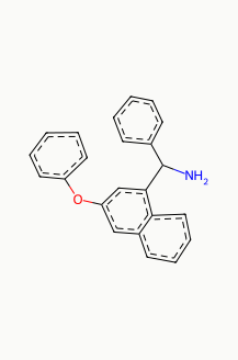 NC(c1ccccc1)c1cc(Oc2ccccc2)cc2ccccc12